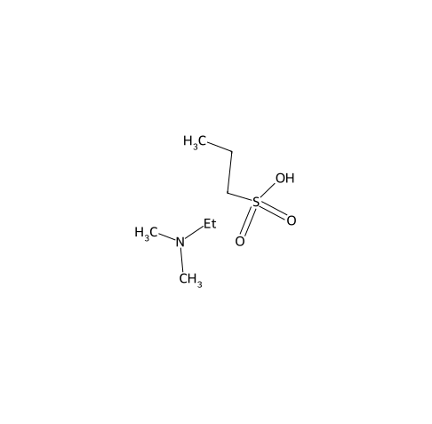 CCCS(=O)(=O)O.CCN(C)C